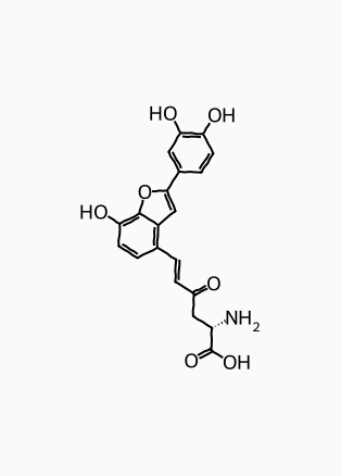 N[C@@H](CC(=O)C=Cc1ccc(O)c2oc(-c3ccc(O)c(O)c3)cc12)C(=O)O